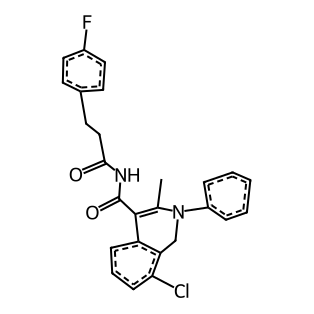 CC1=C(C(=O)NC(=O)CCc2ccc(F)cc2)c2cccc(Cl)c2CN1c1ccccc1